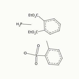 CCOC(=O)c1ccccc1C(=O)OCC.CP.Cc1ccccc1S([O])(=O)=O